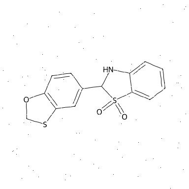 O=S1(=O)c2ccccc2NC1c1ccc2c(c1)SCO2